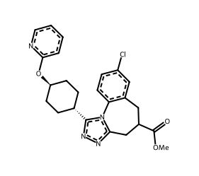 COC(=O)C1Cc2cc(Cl)ccc2-n2c(nnc2[C@H]2CC[C@H](Oc3ccccn3)CC2)C1